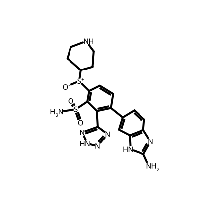 Nc1nc2ccc(-c3ccc([S+]([O-])C4CCNCC4)c(S(N)(=O)=O)c3-c3nn[nH]n3)cc2[nH]1